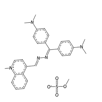 CN(C)c1ccc(C(=NN=Cc2cc[n+](C)c3ccccc23)c2ccc(N(C)C)cc2)cc1.COS(=O)(=O)[O-]